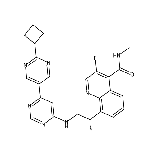 CNC(=O)c1c(F)cnc2c([C@H](C)CNc3cc(-c4cnc(C5CCC5)nc4)ncn3)cccc12